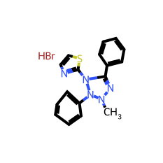 Br.CN1N=C(c2ccccc2)N(c2nccs2)N1c1ccccc1